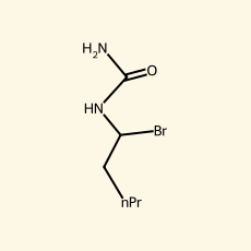 CCCCC(Br)NC(N)=O